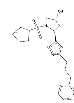 O=S(=O)(C1CCCCC1)N1C[C@H](O)C[C@H]1c1nc(CCCc2ccccc2)no1